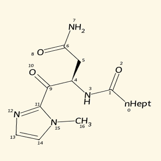 CCCCCCCC(=O)N[C@H](CC(N)=O)C(=O)c1nccn1C